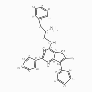 Cc1sc2c(NC[C@@H](N)Cc3ccccc3)nc(-c3ccncc3)nc2c1-c1ccccc1